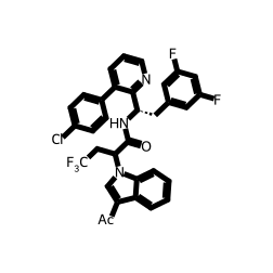 CC(=O)c1cn(C(CC(F)(F)F)C(=O)N[C@@H](Cc2cc(F)cc(F)c2)c2ncccc2-c2ccc(Cl)cc2)c2ccccc12